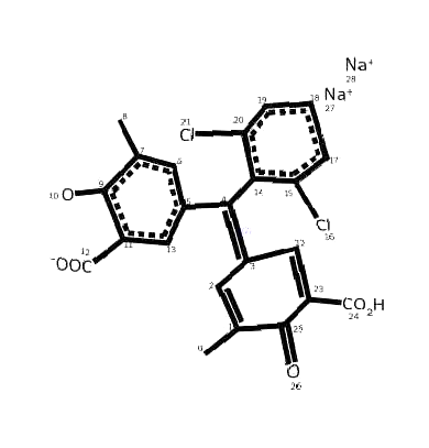 CC1=C/C(=C(\c2cc(C)c([O-])c(C(=O)[O-])c2)c2c(Cl)cccc2Cl)C=C(C(=O)O)C1=O.[Na+].[Na+]